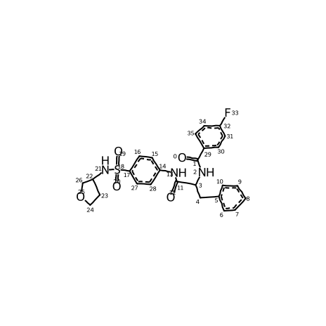 O=C(NC(Cc1ccccc1)C(=O)Nc1ccc(S(=O)(=O)NC2CCOC2)cc1)c1ccc(F)cc1